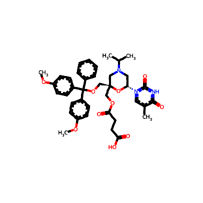 COc1ccc(C(OC[C@@]2(COC(=O)CCC(=O)O)CN(C(C)C)C[C@H](n3cc(C)c(=O)[nH]c3=O)O2)(c2ccccc2)c2ccc(OC)cc2)cc1